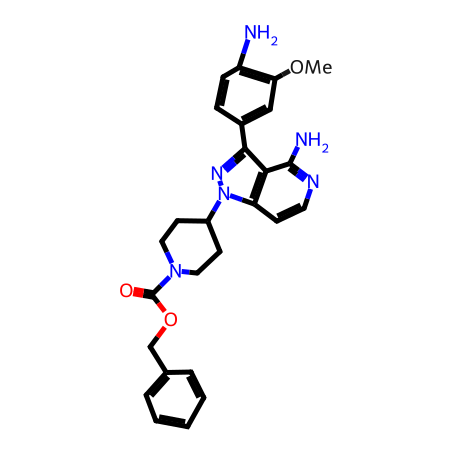 COc1cc(-c2nn(C3CCN(C(=O)OCc4ccccc4)CC3)c3ccnc(N)c23)ccc1N